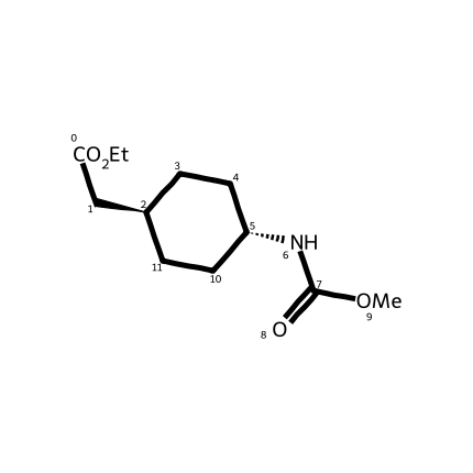 CCOC(=O)C[C@H]1CC[C@H](NC(=O)OC)CC1